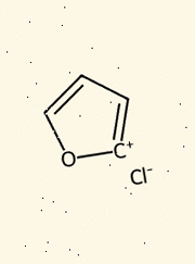 [C+]1=CC=CO1.[Cl-]